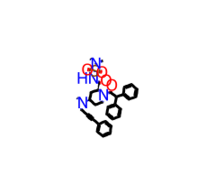 CN(CC#Cc1ccccc1)[C@@H]1CCN(C(=O)C(c2ccccc2)c2ccccc2)[C@H](C(=O)NS(=O)(=O)N(C)C)C1